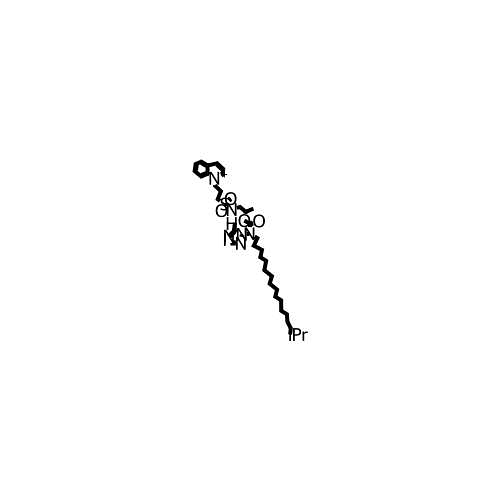 Cc1ncnn1N(CCCCCCCCCCCCCCCC(C)C)C(=O)OC(C)CNS(=O)(=O)CCC[n+]1cccc2ccccc21.[I-]